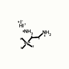 C[N+](C)(C)CCN.I.N.[I-]